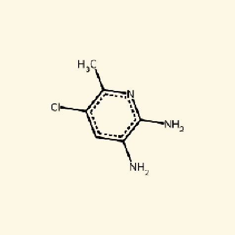 Cc1nc(N)c(N)cc1Cl